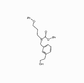 CC(C)OCCCN(Cc1cccc(CCO)c1)C(=O)OC(C)(C)C